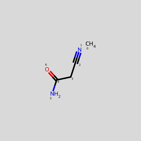 C.N#CCC(N)=O